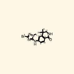 Cn1nc(Br)nc1Nc1ccc2c(c1)C(C)(C)CNC2=O